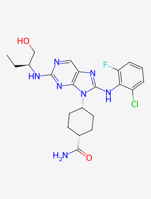 CC[C@@H](CO)Nc1ncc2nc(Nc3c(F)cccc3Cl)n([C@H]3CC[C@@H](C(N)=O)CC3)c2n1